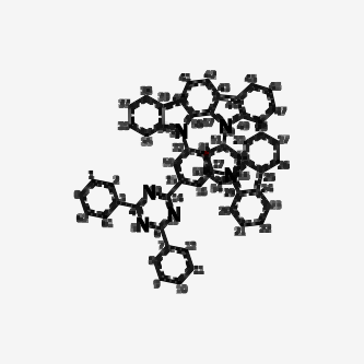 c1ccc(-c2nc(-c3ccccc3)nc(-c3cc(-n4c5ccccc5c5ccccc54)cc(-n4c5ccccc5c5ccc6c7ccccc7n(-c7ccccc7)c6c54)c3)n2)cc1